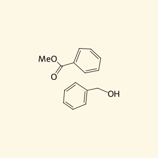 COC(=O)c1ccccc1.OCc1ccccc1